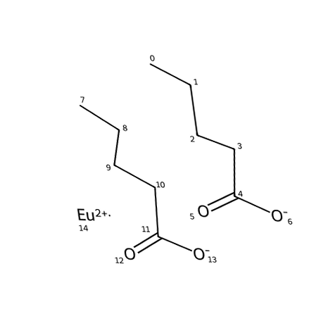 CCCCC(=O)[O-].CCCCC(=O)[O-].[Eu+2]